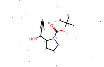 C#CC(O)C1CCCN1C(=O)OC(C)(C)C